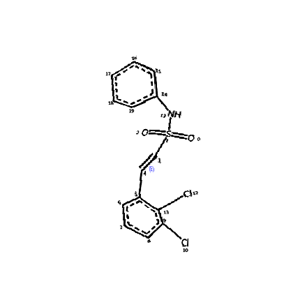 O=S(=O)(/C=C/c1cccc(Cl)c1Cl)Nc1ccccc1